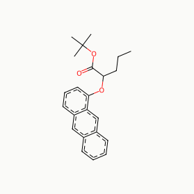 CCCC(Oc1cccc2cc3ccccc3cc12)C(=O)OC(C)(C)C